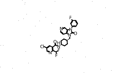 O=C(N[C@H]1CC[C@H](Cn2c(=O)n(-c3cccc(F)c3)c3cnccc32)CC1)c1cc(Cl)cnc1C(F)F